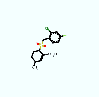 CCOC(=O)C1=CC(C)CCC1S(=O)(=O)Cc1ccc(F)cc1Cl